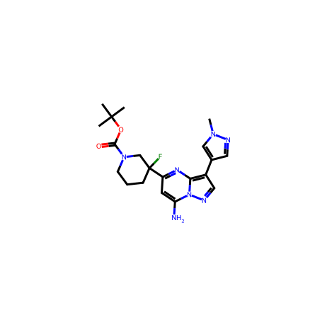 Cn1cc(-c2cnn3c(N)cc(C4(F)CCCN(C(=O)OC(C)(C)C)C4)nc23)cn1